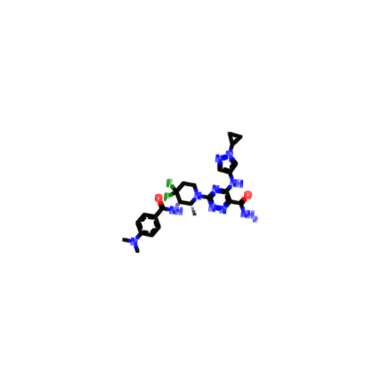 C[C@@H]1[C@H](NC(=O)c2ccc(N(C)C)cc2)C(F)(F)CCN1c1nnc(C(N)=O)c(Nc2cnn(C3CC3)c2)n1